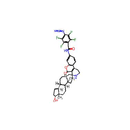 C[C@]12CC[C@]3(C[C@@H]1CC[C@@H]1[C@@H]2CC[C@]2(C)[C@@H](O)CC[C@@H]12)NCCc1c3c(=O)oc2cc(NC(=O)c3c(F)c(F)c(N=[N+]=[N-])c(F)c3F)ccc12